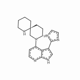 c1c[nH]c(-c2c[nH]c3nccc(N4CCC[C@@]5(CCCCN5)C4)c23)n1